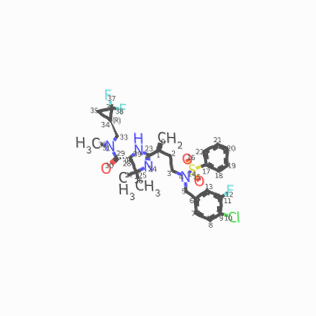 C=C(CCN(Cc1ccc(Cl)c(F)c1)S(=O)(=O)c1ccccc1)C1=NC(C)(C)[C@H](C(=O)N(C)C[C@H]2CC2(F)F)N1